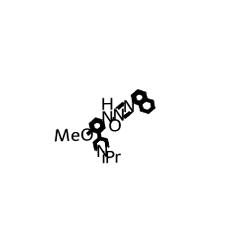 COc1ccc(NC(=O)N2CCN(c3cccc4c3CCCC4)CC2)cc1C1CCN(C(C)C)CC1